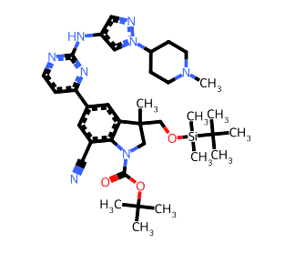 CN1CCC(n2cc(Nc3nccc(-c4cc(C#N)c5c(c4)C(C)(CO[Si](C)(C)C(C)(C)C)CN5C(=O)OC(C)(C)C)n3)cn2)CC1